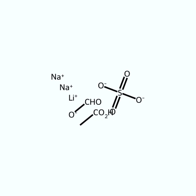 CC(=O)O.O=C[O-].O=S(=O)([O-])[O-].[Li+].[Na+].[Na+]